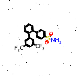 NS(=O)(=O)c1ccc(-c2ccccc2-c2cc(C(F)(F)F)cc(C(F)(F)F)c2)cc1